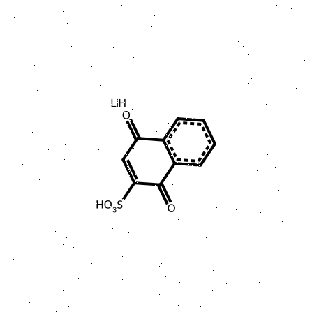 O=C1C=C(S(=O)(=O)O)C(=O)c2ccccc21.[LiH]